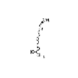 C#CCOCCOCCOC(C)O